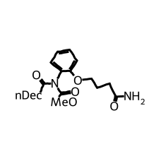 CCCCCCCCCCC(=O)N(C(=O)OC)c1ccccc1OCCCC(N)=O